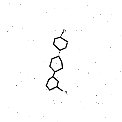 CC[C@H]1CC[C@H](C2CCC(C3CCCC(C#N)C3)CC2)CC1